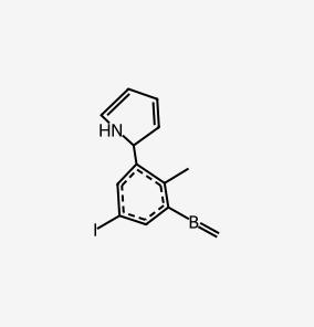 C=Bc1cc(I)cc(C2C=CC=CN2)c1C